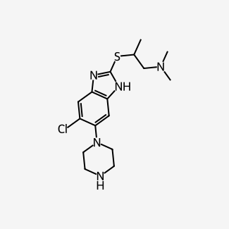 CC(CN(C)C)Sc1nc2cc(Cl)c(N3CCNCC3)cc2[nH]1